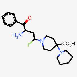 NC(CC(F)N1CCC(C(=O)O)(N2CCCCC2)CC1)C(=O)c1ccccc1